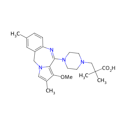 COc1c(C)cn2c1C(N1CCN(CC(C)(C)C(=O)O)CC1)=Nc1ccc(C)cc1C2